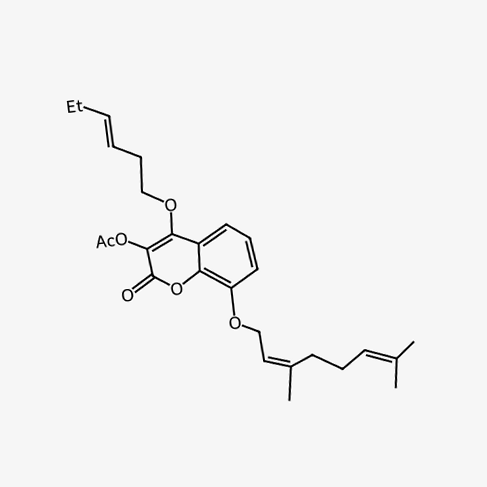 CCC=CCCOc1c(OC(C)=O)c(=O)oc2c(OCC=C(C)CCC=C(C)C)cccc12